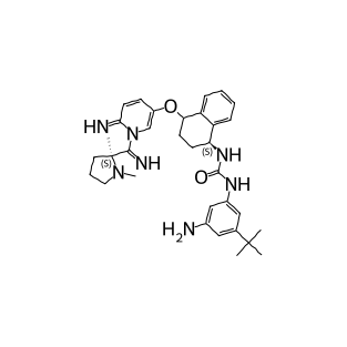 CN1CCC[C@@]1(C)C(=N)n1cc(OC2CC[C@H](NC(=O)Nc3cc(N)cc(C(C)(C)C)c3)c3ccccc32)ccc1=N